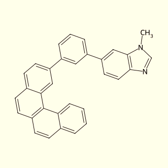 Cn1cnc2ccc(-c3cccc(-c4ccc5ccc6ccc7ccccc7c6c5c4)c3)cc21